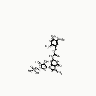 COc1cc(COC(=O)Nc2nc3c(c(=O)[nH]2)[n+](C)cn3[C@@H]2O[C@H](COP(=O)(O)O)[C@@H](O)[C@H]2O)c([N+](=O)[O-])cc1OC